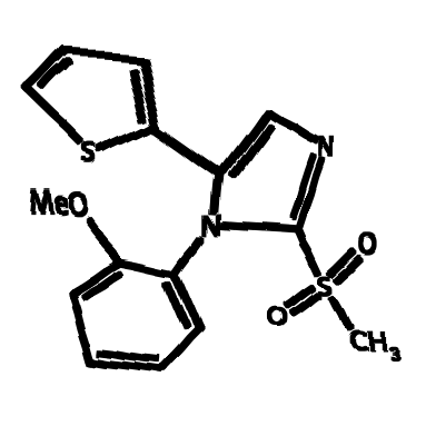 COc1ccccc1-n1c(-c2cccs2)cnc1S(C)(=O)=O